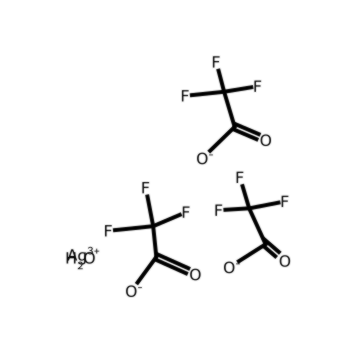 O.O=C([O-])C(F)(F)F.O=C([O-])C(F)(F)F.O=C([O-])C(F)(F)F.[Ag+3]